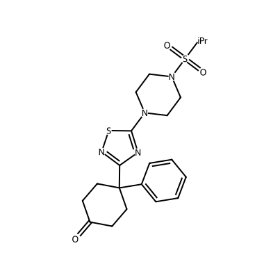 CC(C)S(=O)(=O)N1CCN(c2nc(C3(c4ccccc4)CCC(=O)CC3)ns2)CC1